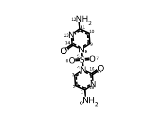 Nc1ccn(S(=O)(=O)n2ccc(N)nc2=O)c(=O)n1